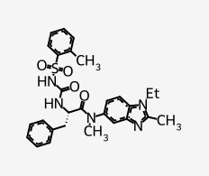 CCn1c(C)nc2cc(N(C)C(=O)[C@H](Cc3ccccc3)NC(=O)NS(=O)(=O)c3ccccc3C)ccc21